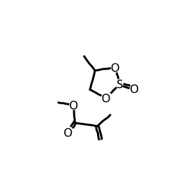 C=C(C)C(=O)OC.CC1COS(=O)O1